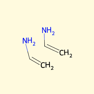 C=CN.C=CN